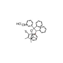 CC1=C(C)C(C)(OC(c2ccccc2)(c2ccccc2)C(c2ccccc2)c2ccccc2)[C]([Ti])=C1C.Cl.Cl